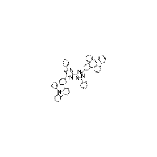 c1ccc(-c2nc(-c3cccc(-c4cccc5c6ccccc6n(-c6ccccc6)c45)c3)nc(-c3nc(-c4ccccc4)nc(-c4cccc(-c5cccc6c7ccccc7n(-c7ccccc7)c56)c4)n3)n2)cc1